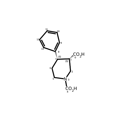 O=C(O)[C@@H]1CN(C(=O)O)CC[C@@H]1c1ccccc1